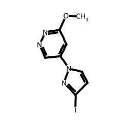 COc1cc(-n2ccc(I)n2)cnn1